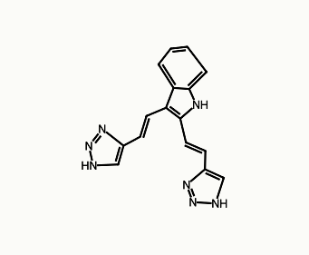 C(=C\c1[nH]c2ccccc2c1/C=C/c1c[nH]nn1)/c1c[nH]nn1